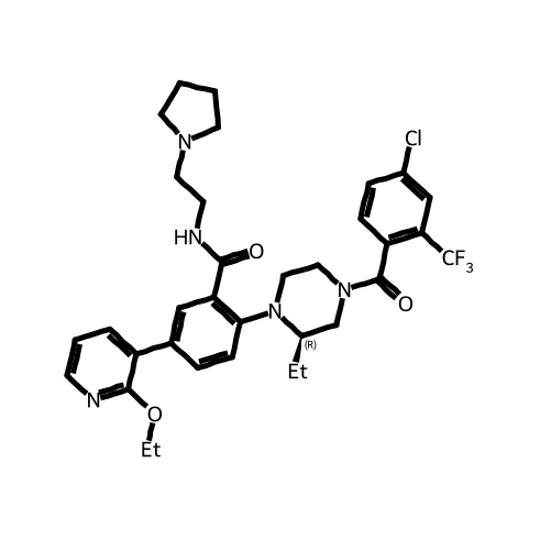 CCOc1ncccc1-c1ccc(N2CCN(C(=O)c3ccc(Cl)cc3C(F)(F)F)C[C@H]2CC)c(C(=O)NCCN2CCCC2)c1